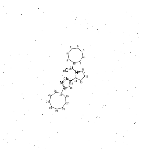 O=C(C1CCCCCCC1)N1CCC[C@H]1c1cc(C2CCCCCCCC2)no1